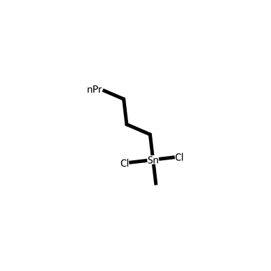 CCCCC[CH2][Sn]([CH3])([Cl])[Cl]